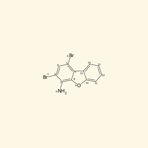 Nc1c(Br)cc(Br)c2c1oc1ccccc12